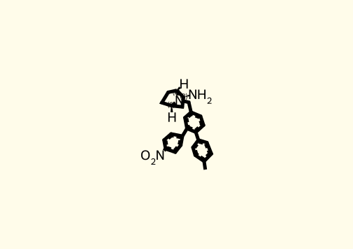 Cc1ccc(-c2ccc(CN3[C@H]4CC[C@@H]3[C@H](N)C4)cc2-c2ccc([N+](=O)[O-])cc2)cc1